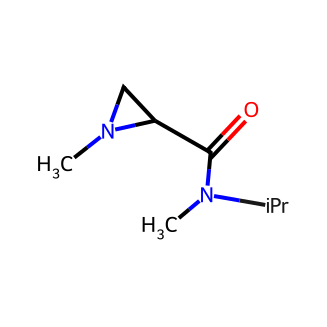 CC(C)N(C)C(=O)C1CN1C